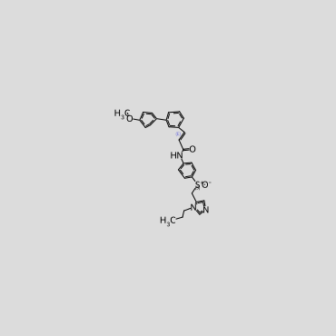 CCCn1cncc1C[S@@+]([O-])c1ccc(NC(=O)/C=C/c2cccc(-c3ccc(OC)cc3)c2)cc1